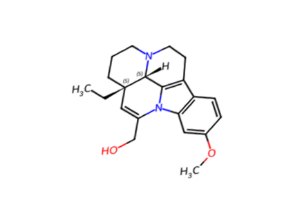 CC[C@@]12C=C(CO)n3c4c(c5ccc(OC)cc53)CCN(CCC1)[C@H]42